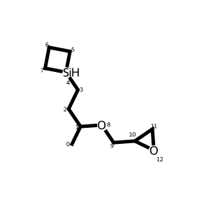 CC(CC[SiH]1CCC1)OCC1CO1